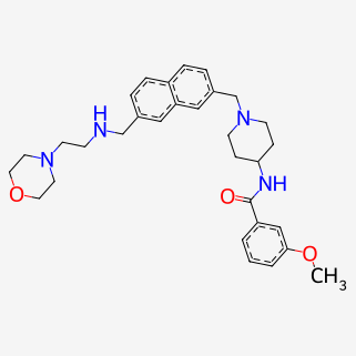 COc1cccc(C(=O)NC2CCN(Cc3ccc4ccc(CNCCN5CCOCC5)cc4c3)CC2)c1